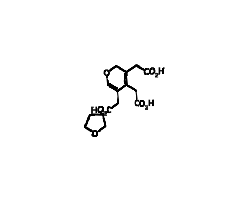 C1CCOC1.O=C(O)CC1=COCC(CC(=O)O)=C1CC(=O)O